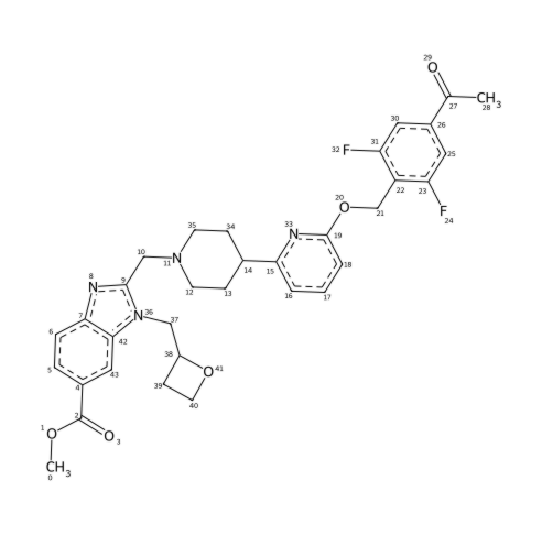 COC(=O)c1ccc2nc(CN3CCC(c4cccc(OCc5c(F)cc(C(C)=O)cc5F)n4)CC3)n(CC3CCO3)c2c1